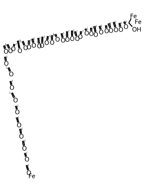 O[CH2][Fe].[C]=O.[C]=O.[C]=O.[C]=O.[C]=O.[C]=O.[C]=O.[C]=O.[C]=O.[C]=O.[C]=O.[C]=O.[C]=O.[C]=O.[C]=O.[C]=O.[C]=O.[C]=O.[C]=O.[C]=O.[C]=O.[C]=O.[C]=O.[C]=O.[C]=O.[C]=O.[C]=O.[C]=O.[C]=O.[C]=O.[C]=O.[C]=O.[C]=O.[C]=O.[C]=O.[C]=O.[Fe].[Fe]